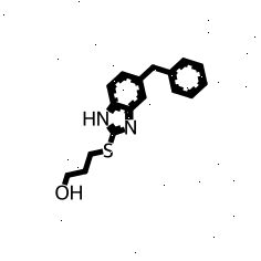 OCCCSc1nc2cc(Cc3ccccc3)ccc2[nH]1